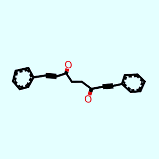 O=C(C#Cc1ccccc1)CCC(=O)C#Cc1ccccc1